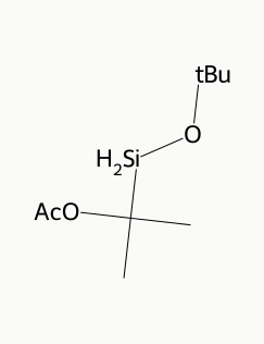 CC(=O)OC(C)(C)[SiH2]OC(C)(C)C